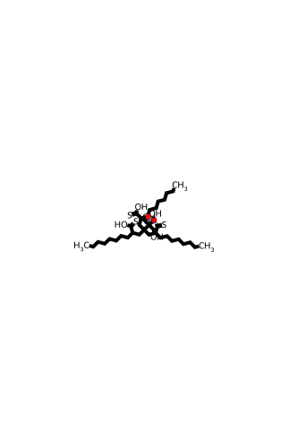 CCCCCCCCC(CC(CC(CCCCCCCC)C(O)=S)(CC(CCCCCCCC)C(O)=S)C(CO)(CO)CO)C(O)=S